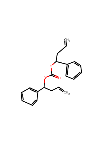 C=CCC(OC(=O)OC(CC=C)c1ccccc1)c1ccccc1